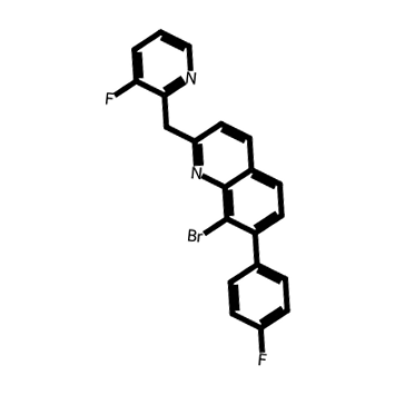 Fc1ccc(-c2ccc3ccc(Cc4ncccc4F)nc3c2Br)cc1